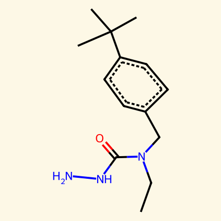 CCN(Cc1ccc(C(C)(C)C)cc1)C(=O)NN